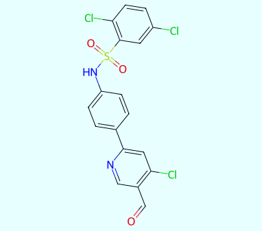 O=Cc1cnc(-c2ccc(NS(=O)(=O)c3cc(Cl)ccc3Cl)cc2)cc1Cl